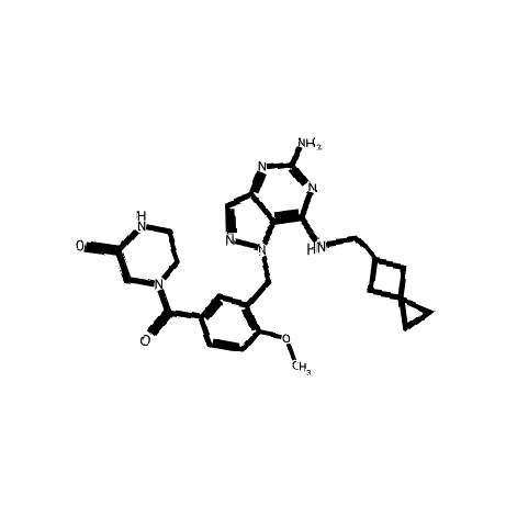 COc1ccc(C(=O)N2CCNC(=O)C2)cc1Cn1ncc2nc(N)nc(NCC3CC4(CC4)C3)c21